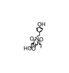 CCN(C#N)C(=O)N(CCc1ccc(O)cc1)C(=O)C=CC(=O)O